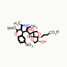 COC(=O)C1=C(C)NC(C)=C(C(=O)[C@@]2(O)CO[C@@]3(CCCC(=O)O)[C@@H](O)CO[C@@H]32)C1c1cccc([N+](=O)[O-])c1